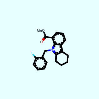 COC(=O)c1cccc2c3c(n(Cc4ccccc4F)c12)CCCC3